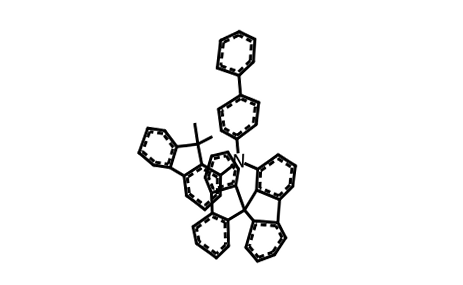 CC1(C)c2ccccc2-c2cccc(N(c3ccc(-c4ccccc4)cc3)c3cccc4c3C3(c5ccccc5-c5ccccc53)c3ccccc3-4)c21